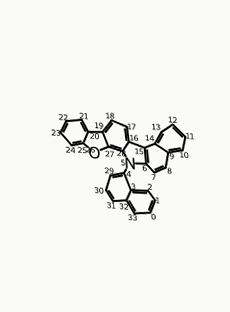 c1ccc2c(-n3c4ccc5ccccc5c4c4ccc5c6ccccc6oc5c43)cccc2c1